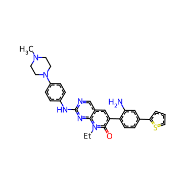 CCn1c(=O)c(-c2ccc(-c3cccs3)cc2N)cc2cnc(Nc3ccc(N4CCN(C)CC4)cc3)nc21